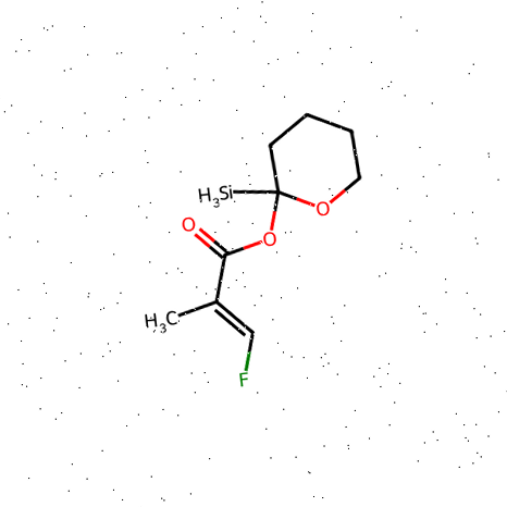 CC(=CF)C(=O)OC1([SiH3])CCCCO1